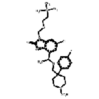 CC(OCC1(c2ccc(F)cc2)CCN(C(=O)O)CC1)c1cc(Cl)cc2c1[nH]c(=O)n2COCC[Si](C)(C)C